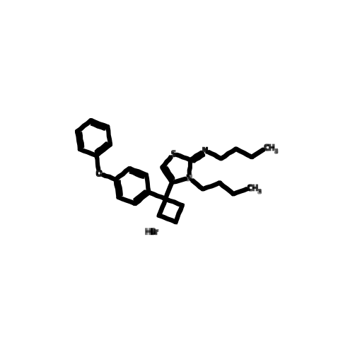 Br.CCCC/N=c1/scc(C2(c3ccc(Oc4ccccc4)cc3)CCC2)n1CCCC